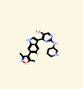 Cc1noc(C)c1-c1cc2[nH]cc(-c3nc(NC4CCCNC4)ncc3C(F)(F)F)c2cc1F